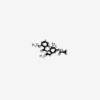 COc1cccc(OC)c1C(=O)n1c(C)cc2cc(NC(=O)C3CC3)ccc21